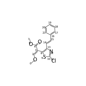 CO/C=C(/C(=O)OC)c1sc(Cl)nc1/C=C/c1ccccc1